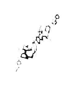 C=CC(=O)N1CCC(Oc2ccc(/C=C/C(=O)N3CCC(Oc4ccc(/C=C/C(=O)N5CC[C@H](Oc6nccc(-c7ccccc7OC)n6)[C@H](F)C5)c(-c5ncn(CC)n5)c4)CC3)c(-c3csnc3OC)c2)CC1